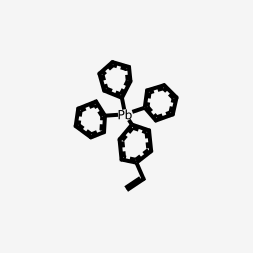 C=Cc1cc[c]([Pb]([c]2ccccc2)([c]2ccccc2)[c]2ccccc2)cc1